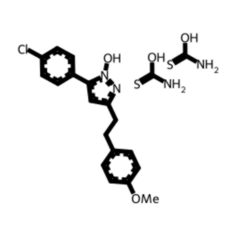 COc1ccc(CCc2cc(-c3ccc(Cl)cc3)n(O)n2)cc1.NC(O)=S.NC(O)=S